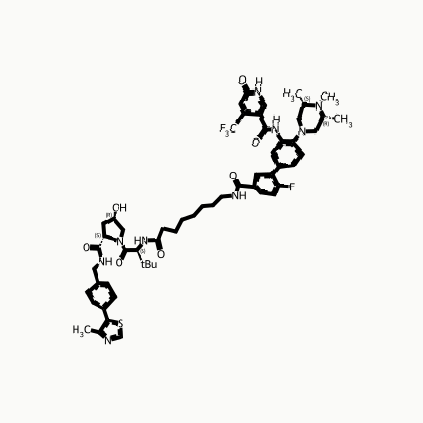 Cc1ncsc1-c1ccc(CNC(=O)[C@@H]2C[C@@H](O)CN2C(=O)[C@@H](NC(=O)CCCCCCCNC(=O)c2ccc(F)c(-c3ccc(N4C[C@@H](C)N(C)[C@@H](C)C4)c(NC(=O)c4c[nH]c(=O)cc4C(F)(F)F)c3)c2)C(C)(C)C)cc1